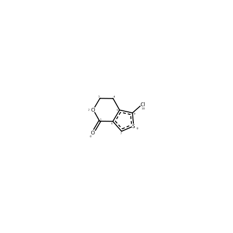 O=C1OCCc2c1csc2Cl